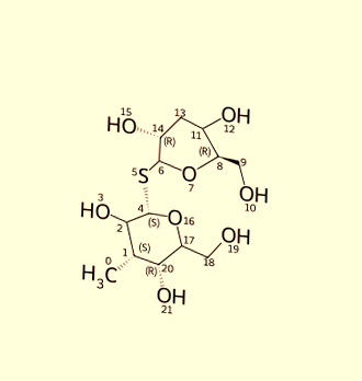 C[C@@H]1C(O)[C@H](SC2O[C@H](CO)C(O)C[C@H]2O)OC(CO)[C@@H]1O